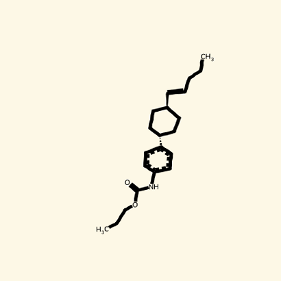 CCCC=C[C@H]1CC[C@H](c2ccc(NC(=O)OCCC)cc2)CC1